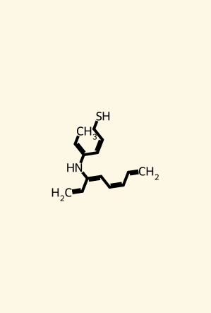 C=C/C=C\C=C(/C=C)NC(/C=C\CS)=C/C